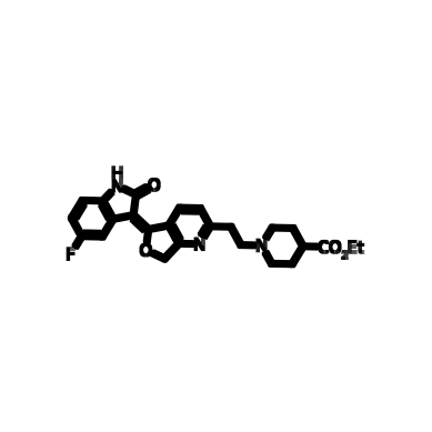 CCOC(=O)C1CCN(CCc2ccc3c(n2)CO/C3=C2/C(=O)Nc3ccc(F)cc32)CC1